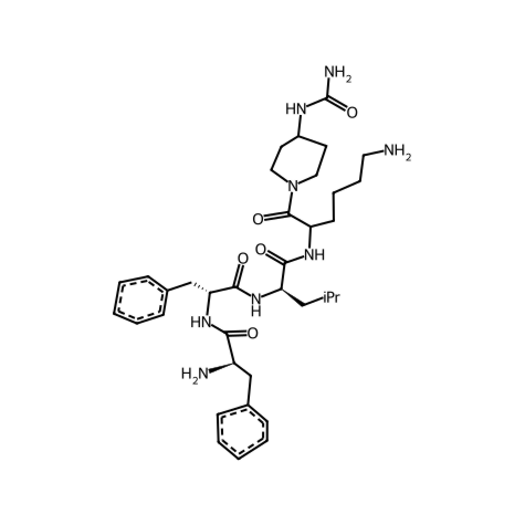 CC(C)C[C@@H](NC(=O)[C@@H](Cc1ccccc1)NC(=O)[C@H](N)Cc1ccccc1)C(=O)NC(CCCCN)C(=O)N1CCC(NC(N)=O)CC1